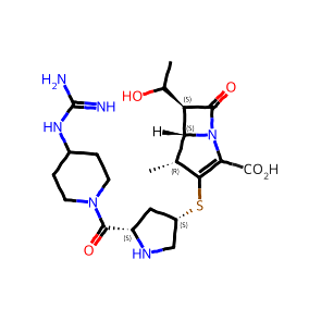 CC(O)[C@H]1C(=O)N2C(C(=O)O)=C(S[C@@H]3CN[C@H](C(=O)N4CCC(NC(=N)N)CC4)C3)[C@H](C)[C@H]12